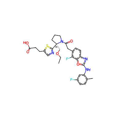 CCOC[C@]1(c2ncc(CCC(=O)O)s2)CCCN1C(=O)Cc1ccc2nc(Nc3cc(F)ccc3C)oc2c1F